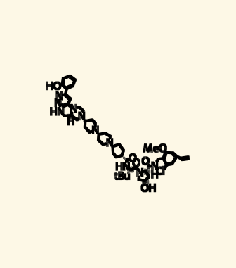 C#Cc1cc(Cl)c(CNC(=O)[C@@H]2C[C@@H](O)CN2C(=O)[C@@H](NC(=O)[C@H]2CC[C@@H](N3CCC(N4CCC(N5CCN6c7cc(-c8ccccc8O)nnc7NC[C@H]6C5)CC4)CC3)CC2)C(C)(C)C)c(OC)c1